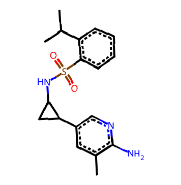 Cc1cc(C2CC2NS(=O)(=O)c2ccccc2C(C)C)cnc1N